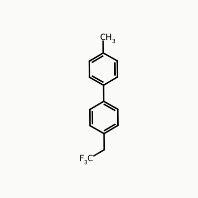 Cc1ccc(-c2ccc(CC(F)(F)F)cc2)cc1